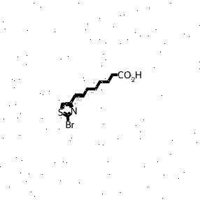 O=C(O)CCCCC/C=C/c1csc(Br)n1